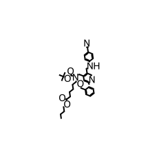 CCCCOC(=O)CCCCCN(Cc1c(CNc2ccc(C#N)cc2)cnc(C)c1OCc1ccccc1)C(=O)OC(C)(C)C